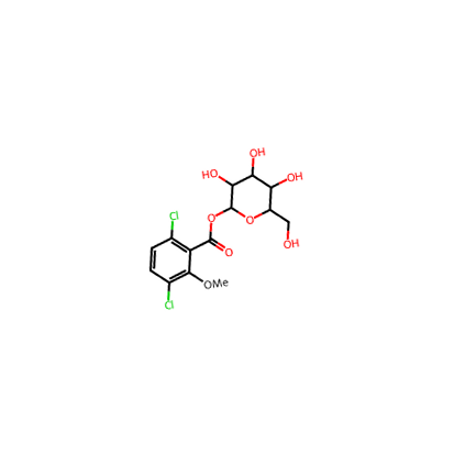 COc1c(Cl)ccc(Cl)c1C(=O)OC1OC(CO)C(O)C(O)C1O